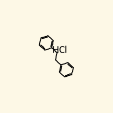 Cl.c1ccc(CCc2ccccc2)cc1